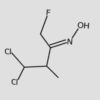 CC(C(CF)=NO)C(Cl)Cl